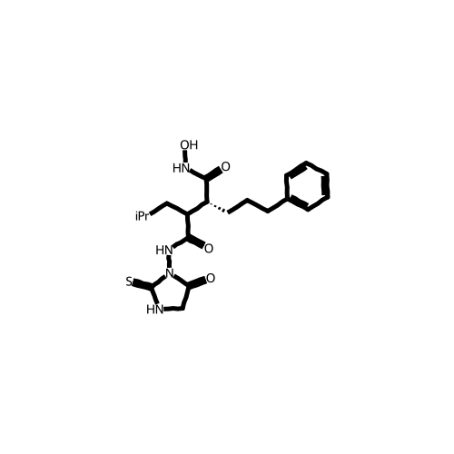 CC(C)CC(C(=O)NN1C(=O)CNC1=S)[C@@H](CCCc1ccccc1)C(=O)NO